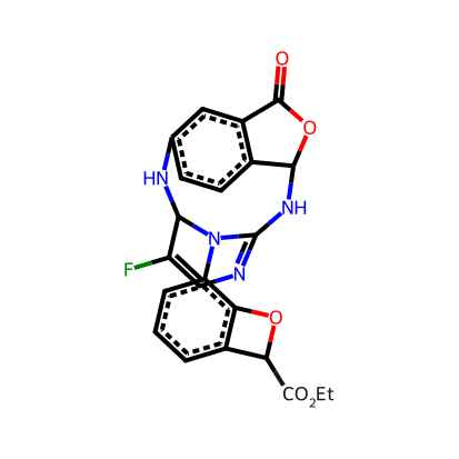 CCOC(=O)C1Oc2c1cccc2N1C2=NC=C(F)C1Nc1ccc3c(c1)C(=O)OC3N2